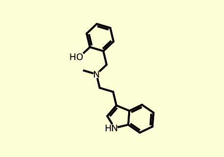 CN(CCc1c[nH]c2ccccc12)Cc1ccccc1O